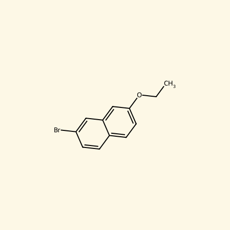 CCOc1ccc2ccc(Br)cc2c1